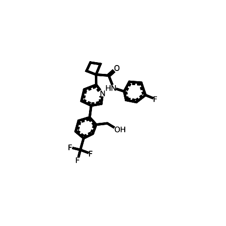 O=C(Nc1ccc(F)cc1)C1(c2ccc(-c3ccc(C(F)(F)F)cc3CO)cn2)CCC1